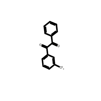 O=C(C(=O)c1cccc(C(F)(F)F)c1)c1ccccc1